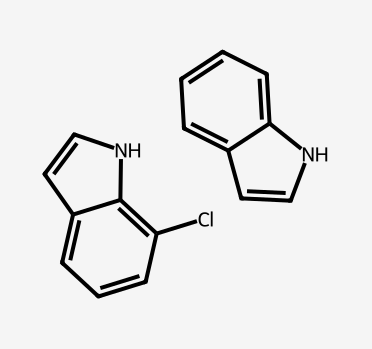 Clc1cccc2cc[nH]c12.c1ccc2[nH]ccc2c1